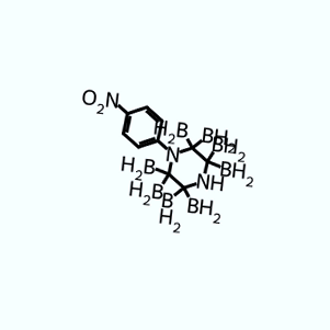 BC1(B)NC(B)(B)C(B)(B)N(c2ccc([N+](=O)[O-])cc2)C1(B)B